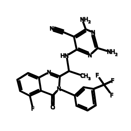 CC(Nc1nc(N)nc(N)c1C#N)c1nc2cccc(F)c2c(=O)n1-c1cccc(C(F)(F)F)c1